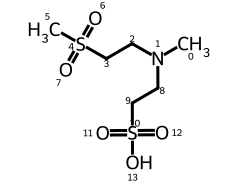 CN(CCS(C)(=O)=O)CCS(=O)(=O)O